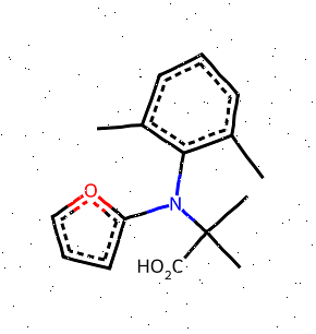 Cc1cccc(C)c1N(c1ccco1)C(C)(C)C(=O)O